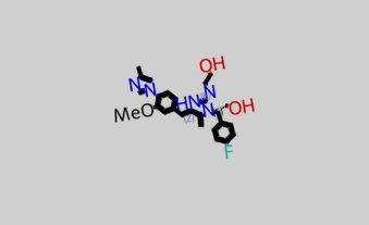 C=c1/c(=C/c2ccc(-n3cnc(C)c3)c(OC)c2)[nH]/c(=N\CCO)n1[C@H](CO)c1ccc(F)cc1